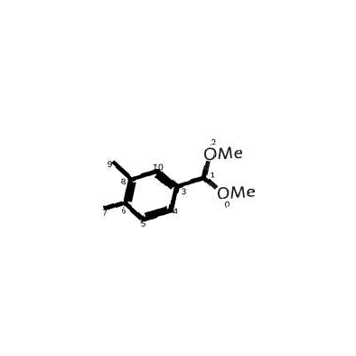 COC(OC)c1ccc(C)c(C)c1